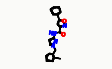 Cc1ccccc1Cn1ccc(NC(=O)c2cc(-c3ccccc3)on2)n1